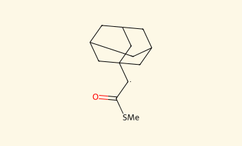 CSC(=O)[CH]C12CC3CC(CC(C3)C1)C2